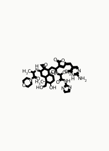 CC(NC(CC1C2(CO2)C(NC(C)C(=O)N2CCOCC2)CC2[C@]1(C)CC[C@@H](O)[C@@]2(C)CO)C1=C/C(=C\c2cnc(N)[nH]c2=O)OC1=O)C(=O)NC1=NCC=N1